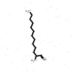 CCCCCCCCCCCC(C)C=N